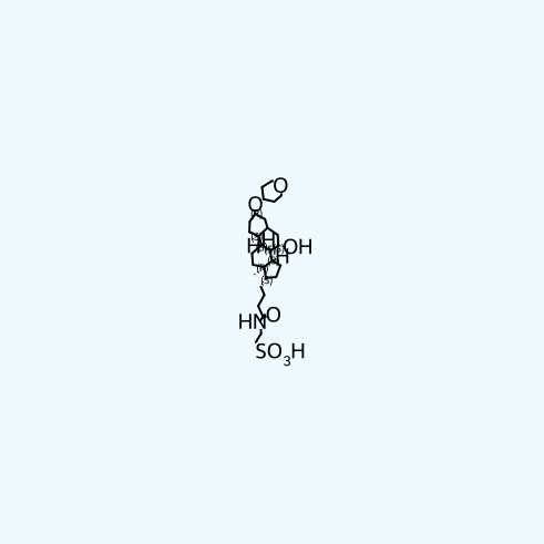 C[C@]12CC[C@H]3[C@@H]([C@@H](O)CC4C[C@H](OC5CCOCC5)CC[C@@]43C)[C@@H]1CC[C@@H]2CCCC(=O)NCCS(=O)(=O)O